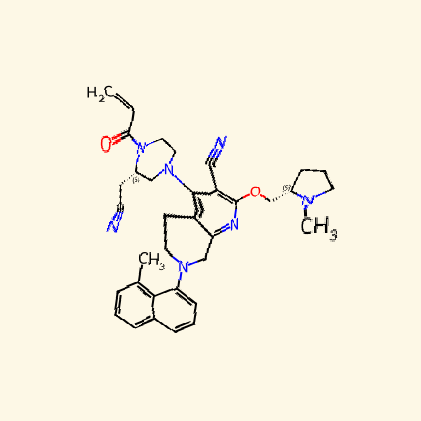 C=CC(=O)N1CCN(c2c(C#N)c(OC[C@@H]3CCCN3C)nc3c2CCN(c2cccc4cccc(C)c24)C3)C[C@@H]1CC#N